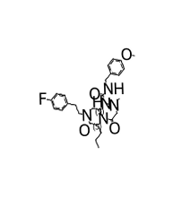 CCC[C@H]1C(=O)N(CCc2ccc(F)cc2)C[C@H]2N1C(=O)CN(C)N2C(=O)NCc1ccc(OC)cc1